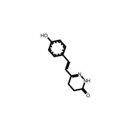 O=C1CCC(C=Cc2ccc(O)cc2)=NN1